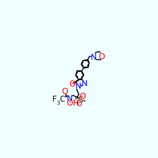 C[C@@](CCn1cnc2cc(-c3ccc(CN4CCOCC4)cc3)ccc2c1=O)(CN(O)C(=O)C(F)(F)F)S(C)(=O)=O